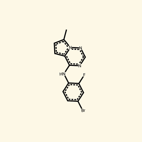 Cc1ccc2c(Nc3ccc(Br)cc3F)ncnn12